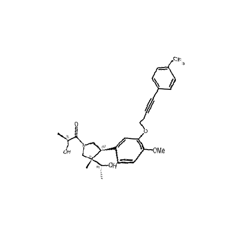 COc1ccc([C@@H]2CN(C(=O)[C@H](C)O)C[C@@]2(C)[C@@H](C)O)cc1OCC#Cc1ccc(C(F)(F)F)cc1